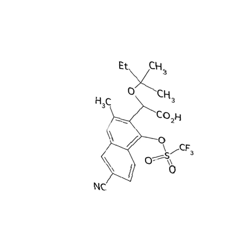 CCC(C)(C)OC(C(=O)O)c1c(C)cc2cc(C#N)ccc2c1OS(=O)(=O)C(F)(F)F